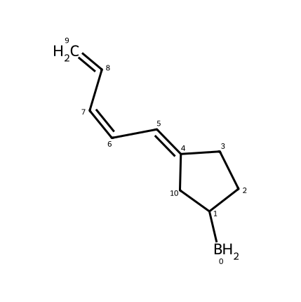 BC1CC/C(=C/C=C\C=C)C1